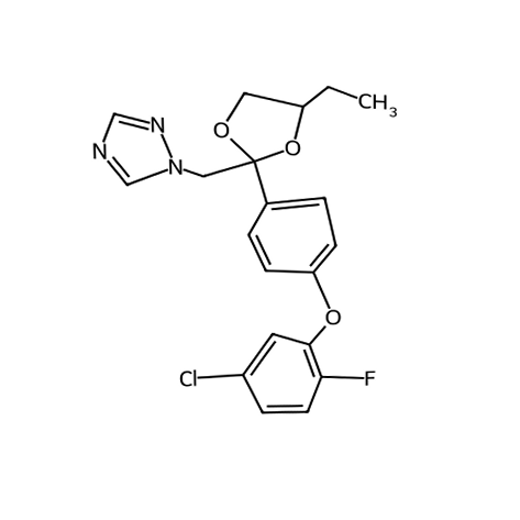 CCC1COC(Cn2cncn2)(c2ccc(Oc3cc(Cl)ccc3F)cc2)O1